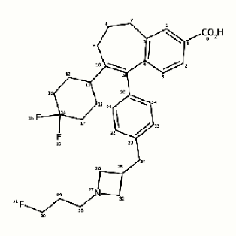 O=C(O)c1ccc2c(c1)CCCC(C1CCC(F)(F)CC1)=C2c1ccc(CC2CN(CCCF)C2)cc1